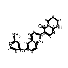 Nc1cc(Oc2ccc3nc(-c4cnc5n(c4=O)CCCN5)ccc3c2)ccn1